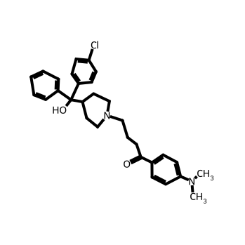 CN(C)c1ccc(C(=O)CCCN2CCC(C(O)(c3ccccc3)c3ccc(Cl)cc3)CC2)cc1